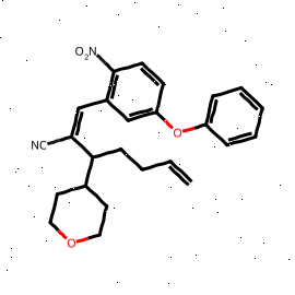 C=CCCC(/C(C#N)=C\c1cc(Oc2ccccc2)ccc1[N+](=O)[O-])C1CCOCC1